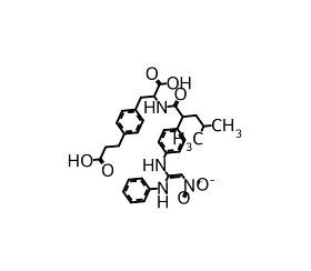 CC(C)CC(C(=O)NC(Cc1ccc(CCC(=O)O)cc1)C(=O)O)c1ccc(N/C(=C/[N+](=O)[O-])Nc2ccccc2)cc1